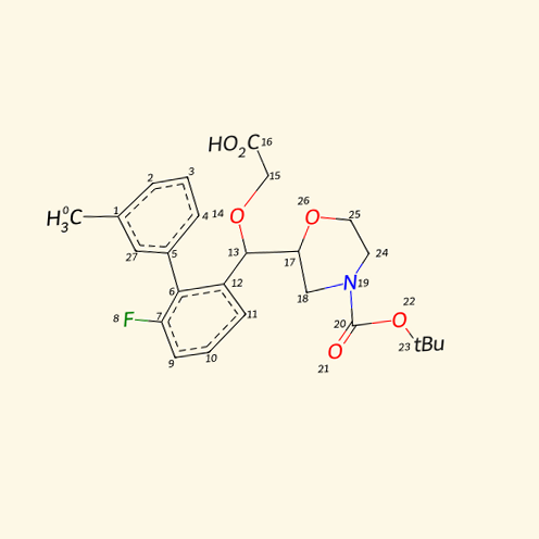 Cc1cccc(-c2c(F)cccc2C(OCC(=O)O)C2CN(C(=O)OC(C)(C)C)CCO2)c1